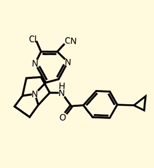 N#Cc1ncc(N2C3CCC(NC(=O)c4ccc(C5CC5)cc4)C2CC3)nc1Cl